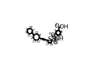 COc1cc(C(=O)O)ccc1NS(=O)(=O)c1ccc(C#CC2CCCC(C3CCCCC3)CC2)s1